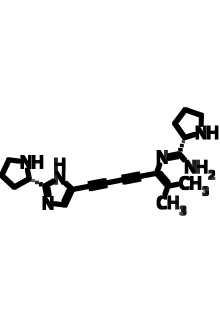 CC(C)=C(C#CC#Cc1cnc([C@@H]2CCCN2)[nH]1)/N=C(\N)[C@@H]1CCCN1